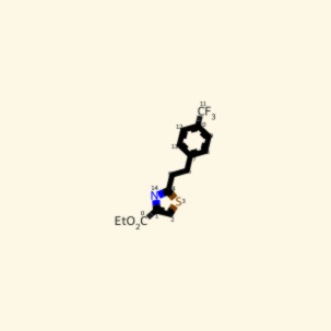 CCOC(=O)c1csc(CCc2ccc(C(F)(F)F)cc2)n1